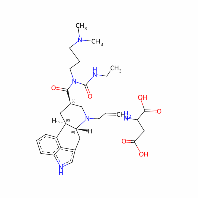 C=CCN1C[C@H](C(=O)N(CCCN(C)C)C(=O)NCC)C[C@@H]2c3cccc4[nH]cc(c34)C[C@H]21.NC(CC(=O)O)C(=O)O